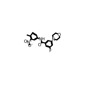 Cc1ccc(NC(=O)c2cc(F)cc(N3CCOCC3)c2)cc1[N+](=O)[O-]